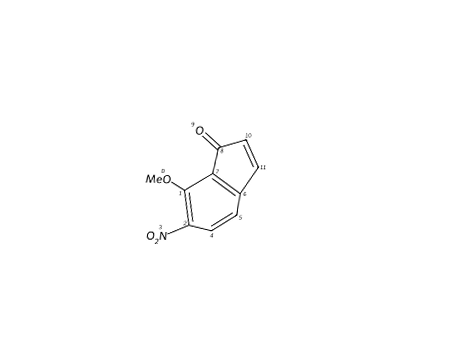 COc1c([N+](=O)[O-])ccc2c1C(=O)C=C2